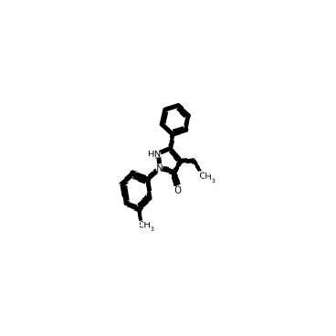 CCc1c(-c2ccccc2)[nH]n(-c2cccc(C)c2)c1=O